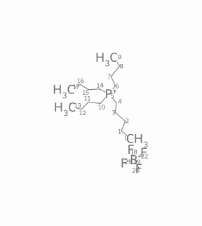 CCCCC[P+](CCCC)(CCCC)CCCC.F[B-](F)(F)F